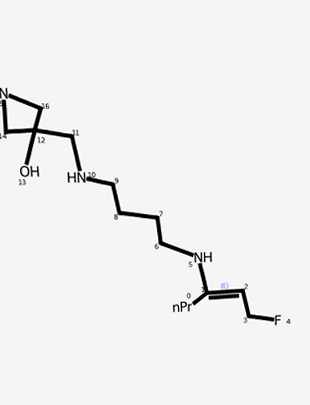 CCC/C(=C\CF)NCCCCNCC1(O)CNC1